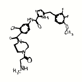 CNCC(=O)N1CCN(C(=O)c2ccc(NC(=O)c3ncc(Cc4ccc(OC)c(F)c4F)[nH]3)cc2Cl)CC1